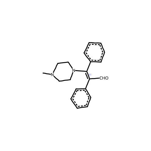 CN1CCN(/C(=C(/C=O)c2ccccc2)c2ccccc2)CC1